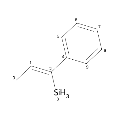 CC=C([SiH3])c1ccccc1